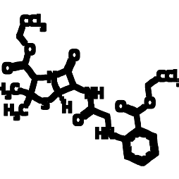 CC1(C)S[C@@H]2C(NC(=O)CNc3ccccc3C(=O)OCC(Cl)(Cl)Cl)C(=O)N2C1C(=O)OCC(Cl)(Cl)Cl